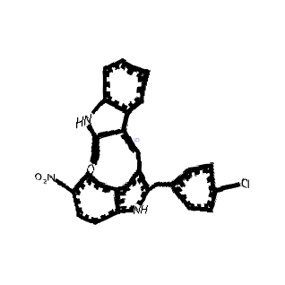 O=C1Nc2ccccc2/C1=C/c1c(-c2ccc(Cl)cc2)[nH]c2ccc([N+](=O)[O-])cc12